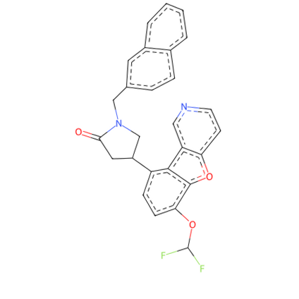 O=C1CC(c2ccc(OC(F)F)c3oc4ccncc4c23)CN1Cc1ccc2ccccc2c1